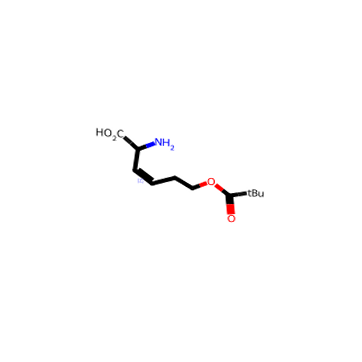 CC(C)(C)C(=O)OCC/C=C\C(N)C(=O)O